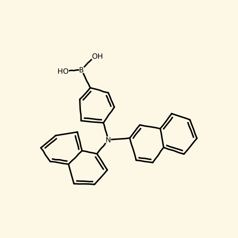 OB(O)c1ccc(N(c2ccc3ccccc3c2)c2cccc3ccccc23)cc1